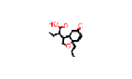 CCCC12C=CC(=O)CC1C(C(CC)C(=O)O)CO2